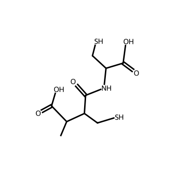 CC(C(=O)O)C(CS)C(=O)NC(CS)C(=O)O